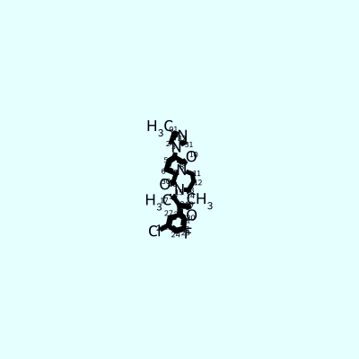 Cc1cn(-c2ccc3n(c2=O)CCC(C)N(C(C)c2coc4c(F)cc(Cl)cc24)C3=O)cn1